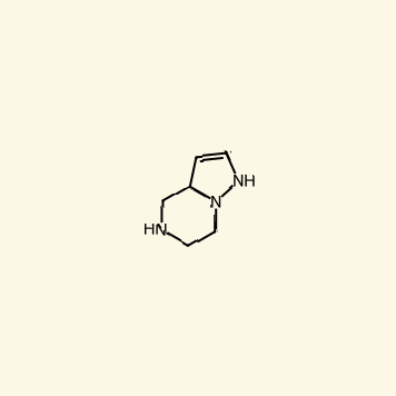 [C]1=CC2CNCCN2N1